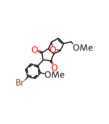 COCC1=CC2OC1C1C(=O)C(c3ccc(Br)cc3OC)C(=O)C21